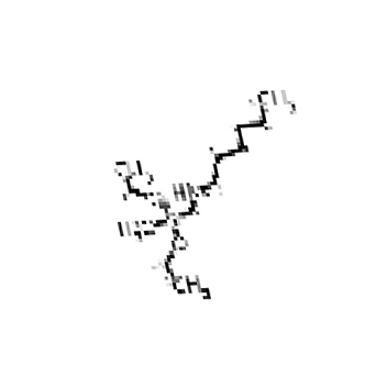 CCCCCCNC[Si](C)(OCC)OCC